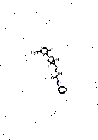 Nc1ncc(F)c(N2C[C@@H]3C(CCNC(=O)/C=C/c4cccnc4)[C@@H]3C2)n1